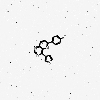 Fc1ccc(-c2ccc3ncnc(-c4ccsc4)c3n2)cc1